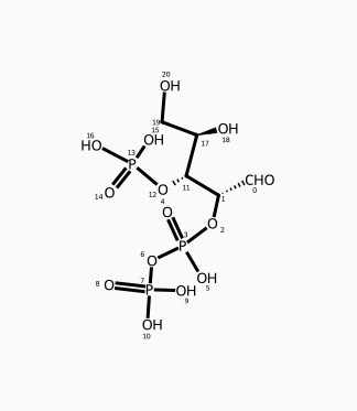 O=C[C@H](OP(=O)(O)OP(=O)(O)O)[C@H](OP(=O)(O)O)[C@H](O)CO